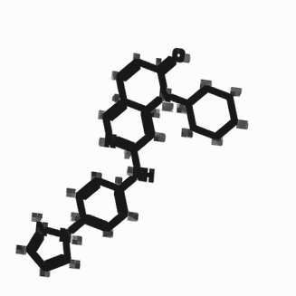 O=c1ccc2cnc(Nc3ccc(-n4cccn4)cc3)cc2n1C1CCCCC1